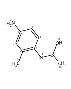 Cc1cc(N)ccc1NC(C)O